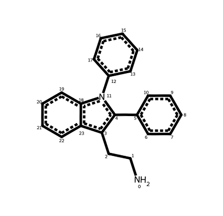 NCCc1c(-c2ccccc2)n(-c2ccccc2)c2ccccc12